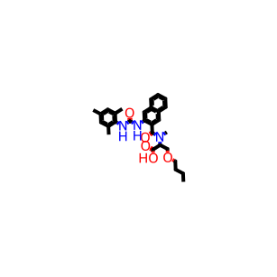 CCCCOCC(C(=O)O)N(C)C(=O)c1cc2ccccc2cc1NC(=O)Nc1c(C)cc(C)cc1C